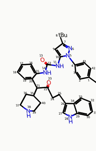 Cc1ccc(-n2nc(C(C)(C)C)cc2NC(=O)Nc2ccccc2C(C(=O)CCc2c[nH]c3ccccc23)C2CCNCC2)cc1